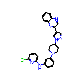 Clc1cccc(Nc2cccc(N3CCC(n4cc(-c5cnc6ccccc6n5)cn4)CC3)c2)n1